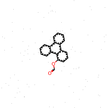 O=COc1cccc2c3ccccc3c3ccccc3c12